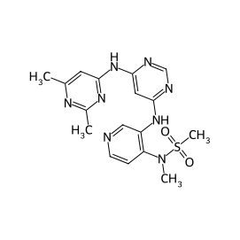 Cc1cc(Nc2cc(Nc3cnccc3N(C)S(C)(=O)=O)ncn2)nc(C)n1